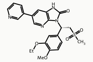 CCOc1cc([C@@H](CS(C)(=O)=O)n2c(=O)[nH]c3cc(-c4cccnc4)cnc32)ccc1OC